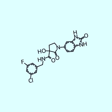 O=C(NCc1cc(F)cc(Cl)c1)C1(O)CCN(c2ccc3[nH]c(=O)[nH]c3c2)C1=O